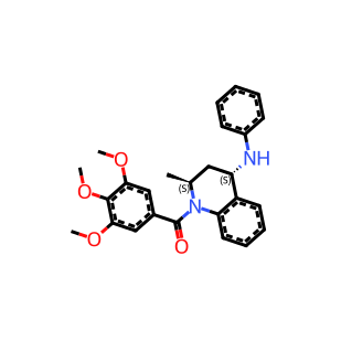 COc1cc(C(=O)N2c3ccccc3[C@@H](Nc3ccccc3)C[C@@H]2C)cc(OC)c1OC